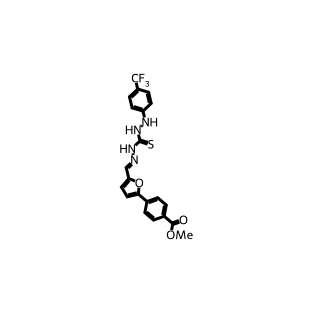 COC(=O)c1ccc(-c2ccc(C=NNC(=S)NNc3ccc(C(F)(F)F)cc3)o2)cc1